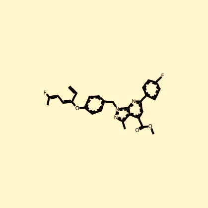 C=C/C(=C\C=C(/C)F)Oc1ccc(Cn2nc(C)c3c(C(=O)OC)cc(-c4ccc(F)cc4)nc32)cc1